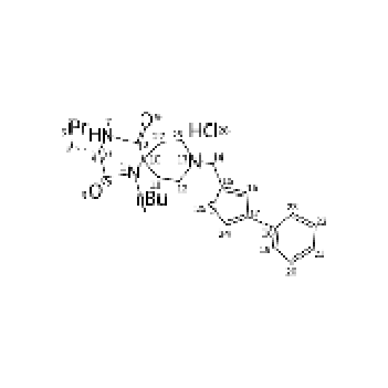 CCCCN1C(=O)[C@H](CC(C)C)NC(=O)C12CCN(Cc1cc(-c3ccccc3)cs1)CC2.Cl